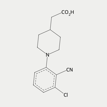 N#Cc1c(Cl)cccc1N1CCC(CC(=O)O)CC1